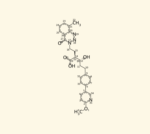 COc1ccc(-c2ccc(CC[C@@H](O)[C@H](CCn3nnc4c(C)cccc4c3=O)C(=O)O)cc2)cn1